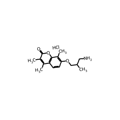 Cc1c(C)c2ccc(OCC(C)CN)c(C)c2oc1=O.Cl